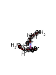 CC(=O)[O-].CC(=O)[O-].CC(=O)[O-].CN(CCCC(=O)NCC(=O)Nc1ccc(CC[N+]23CC[N+](CC(N)=O)(CC2)CC3)cc1)S(=O)(=O)c1ccc2c(c1)C(C)(C)C(/C=C/C=C/C=C/C=C1/N(CCCS(=O)(=O)[O-])c3ccc(S(=O)(=O)N(C)CCCC(=O)NCC(=O)Nc4ccc(CC[N+]56CC[N+](CC(N)=O)(CC5)CC6)cc4)cc3C1(C)C)=[N+]2CCCS(=O)(=O)[O-]